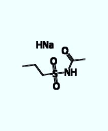 CCCS(=O)(=O)NC(C)=O.[NaH]